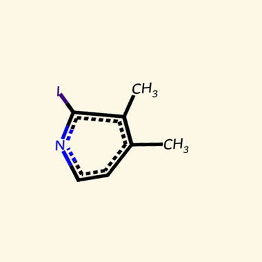 Cc1ccnc(I)c1C